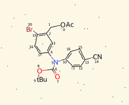 CC(=O)OCc1cc(N(C(=O)OC(C)(C)C)c2ccc(C#N)cc2)ccc1Br